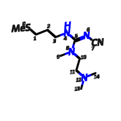 CSCCCN/C(=N/C#N)N(C)CCN(C)C